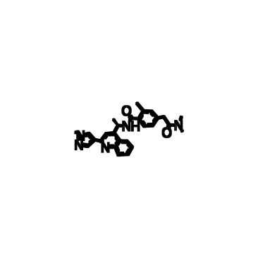 Cc1cc(CC(=O)N(C)C)ccc1C(=O)N[C@H](C)c1cc(-c2cnn(C)c2)nc2ccccc12